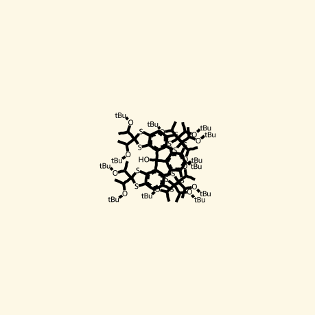 CC(OC(C)(C)C)C1(C(C)OC(C)(C)C)Sc2cc3c(c(C(O)(c4c5c(cc6c4SC(C(C)OC(C)(C)C)(C(C)OC(C)(C)C)S6)SC(C(C)OC(C)(C)C)(C(C)OC(C)(C)C)S5)c4c5c(cc6c4SC(C(C)OC(C)(C)C)(C(C)OC(C)(C)C)S6)SC(C(C)OC(C)(C)C)(C(C)OC(C)(C)C)S5)c2S1)SC(C(C)OC(C)(C)C)(C(C)OC(C)(C)C)S3